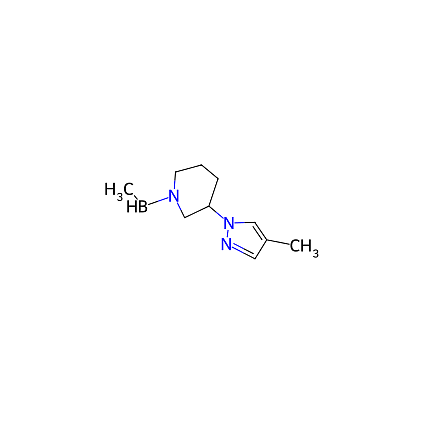 CBN1CCCC(n2cc(C)cn2)C1